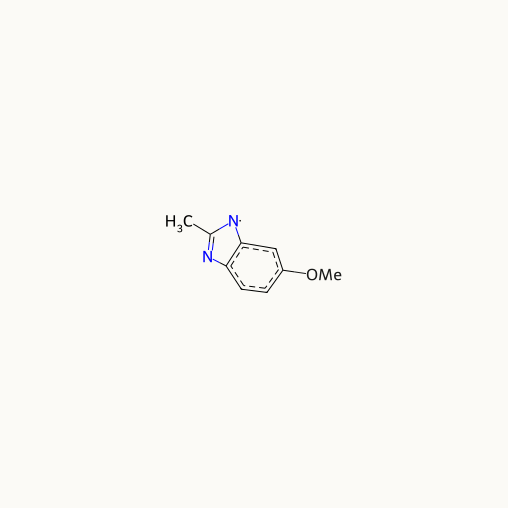 COc1ccc2c(c1)[N]C(C)=N2